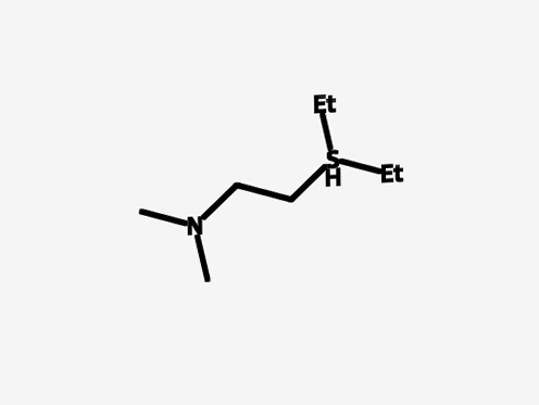 CC[SH](CC)CCN(C)C